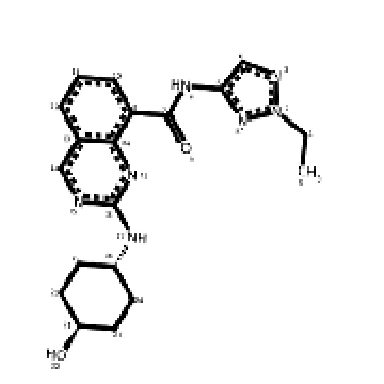 CCn1ncc(NC(=O)c2cccc3cnc(N[C@H]4CC[C@H](O)CC4)nc23)n1